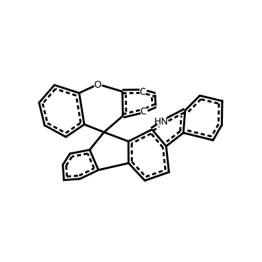 c1ccc2c(c1)Oc1ccccc1C21c2ccccc2-c2ccc3c([nH]c4ccccc43)c21